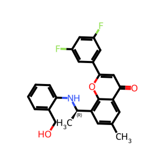 Cc1cc([C@@H](C)Nc2ccccc2CO)c2oc(-c3cc(F)cc(F)c3)cc(=O)c2c1